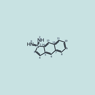 N=S1(=N)C=Cc2cc3ccccc3cc21